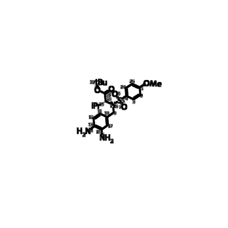 COc1ccc(S(=O)(=O)N(Cc2ccc(N)c(N)c2)[C@@H](C(=O)OC(C)(C)C)C(C)C)cc1